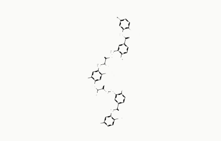 CC(=O)C(Nc1cc(O)c(NC(C(C)=O)C(=O)NNc2cc(C(=O)Nc3cc(O)ccc3O)ccc2Cl)cc1C)C(=O)NNc1cc(C(=O)Nc2cc(Cl)ccc2C)ccc1O